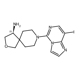 N[C@@H]1COCC12CCN(c1ncc(I)c3nccn13)CC2